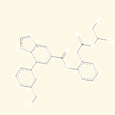 COCC(C)OC(=O)Cc1ccccc1NC(=O)c1cc(-c2cccc(CN)c2)c2[nH]ccc2c1